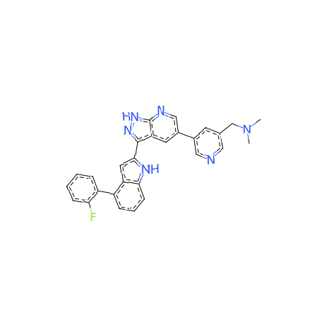 CN(C)Cc1cncc(-c2cnc3[nH]nc(-c4cc5c(-c6ccccc6F)cccc5[nH]4)c3c2)c1